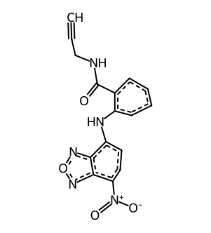 C#CCNC(=O)c1ccccc1Nc1ccc([N+](=O)[O-])c2nonc12